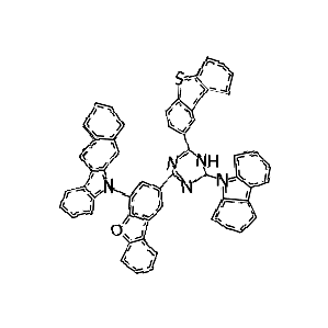 c1ccc2cc3c(cc2c1)c1ccccc1n3-c1cc(C2=NC(n3c4ccccc4c4ccccc43)NC(c3ccc4sc5ccccc5c4c3)=N2)cc2c1oc1ccccc12